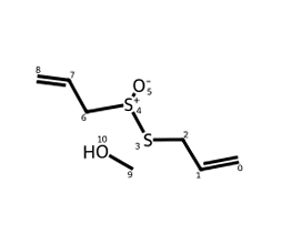 C=CCS[S+]([O-])CC=C.CO